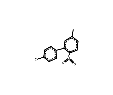 Cc1ccc([SH](=O)=O)c(-c2ccc(Cl)cc2)c1